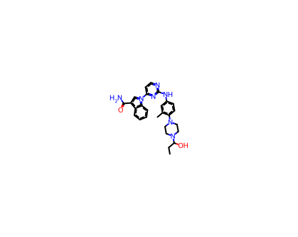 CCC(O)N1CCN(c2ccc(Nc3nccc(-n4cc(C(N)=O)c5ccccc54)n3)cc2C)CC1